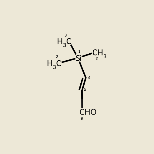 C[Si](C)(C)C=CC=O